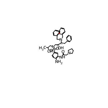 CC(C)CN(C[C@@H](O)[C@H](Cc1ccccc1)N(Cc1ccccc1)Cc1ccccc1)S(=O)(=O)c1ccc(N)c(NC(=O)CN2CCCC2)c1